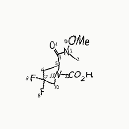 CON(C)C(=O)C1CC(F)(F)CN1C(=O)O